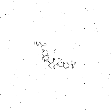 NC(=O)CN1CC[C@@H](CNc2ncnc(N(Cc3ccc(C(F)(F)F)cn3)C3CC3)c2F)[C@H](F)C1